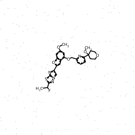 COc1cc(OCc2cccc(C3(OC)CCOCC3)n2)c2cc(-c3cn4nc(C(C)F)sc4n3)oc2c1